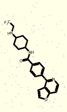 O=C(NC1CCC(NCC(F)(F)F)CC1)c1ccc(-c2nccc3occc23)cc1